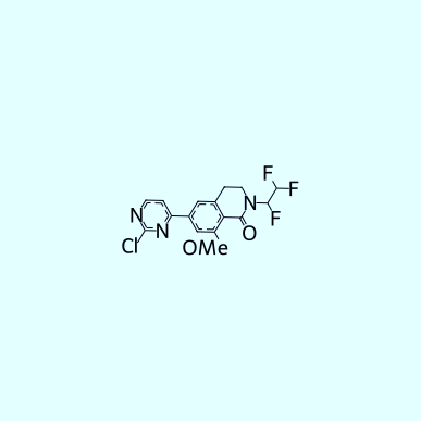 COc1cc(-c2ccnc(Cl)n2)cc2c1C(=O)N(C(F)C(F)F)CC2